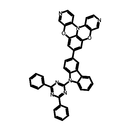 c1ccc(-c2nc(-c3ccccc3)nc(-n3c4ccccc4c4cc(-c5cc6c7c(c5)Oc5cnccc5N7c5ccncc5O6)ccc43)n2)cc1